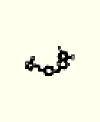 O=C1OCCN1CCC1CCN(CC2COc3c(Cl)cc(F)cc3O2)CC1